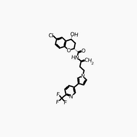 C=C(CCn1ccc(-c2ccc(C(F)(F)F)nc2)c1)NC(=O)[C@H]1C[C@@H](O)c2cc(Cl)ccc2O1